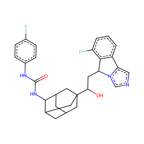 O=C(Nc1ccc(F)cc1)NC1C2CC3CC1CC(C(O)CC1c4c(F)cccc4-c4cncn41)(C3)C2